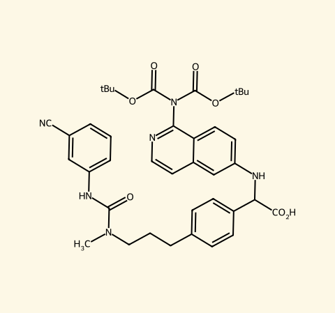 CN(CCCc1ccc(C(Nc2ccc3c(N(C(=O)OC(C)(C)C)C(=O)OC(C)(C)C)nccc3c2)C(=O)O)cc1)C(=O)Nc1cccc(C#N)c1